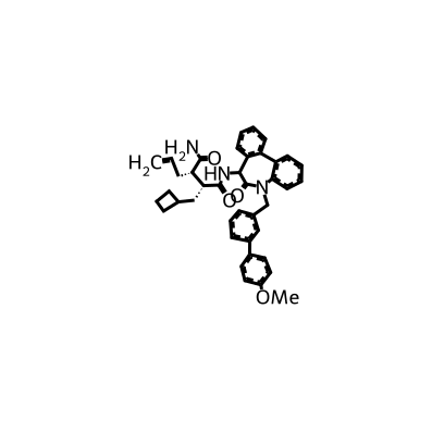 C=CC[C@H](C(N)=O)[C@@H](CC1CCC1)C(=O)NC1C(=O)N(Cc2cccc(-c3ccc(OC)cc3)c2)c2ccccc2-c2ccccc21